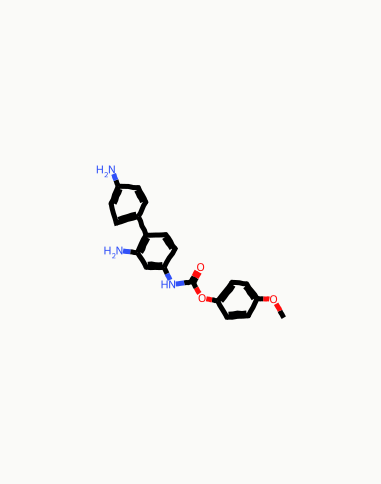 COc1ccc(OC(=O)Nc2ccc(-c3ccc(N)cc3)c(N)c2)cc1